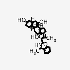 CC(NC(=O)C[C@@H](C)C1CC[C@H]2[C@@H]3[C@H](O)C[C@@H]4C[C@H](O)CC[C@]4(C)[C@H]3C[C@H](O)[C@]12C)c1ccccc1